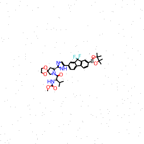 COC(=O)N[C@H](C(=O)N1CC2(C[C@H]1c1ncc(-c3ccc4c(c3)C(F)(F)c3cc(B5OC(C)(C)C(C)(C)O5)ccc3-4)[nH]1)OCCO2)C(C)C